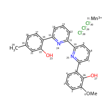 COc1cccc(-c2cccc(-c3cccc(-c4ccc(C)cc4O)n3)n2)c1O.[Cl-].[Cl-].[Cl-].[Mn+3]